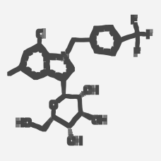 Cc1cc(Cl)c2c(c1)c([C@@H]1O[C@H](CO)[C@@H](O)[C@H](O)[C@H]1O)cn2Cc1ccc(C(F)(F)F)cc1